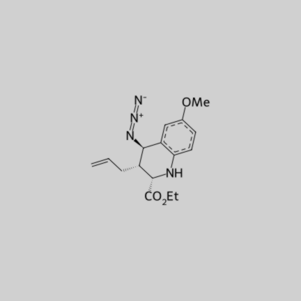 C=CC[C@H]1[C@@H](C(=O)OCC)Nc2ccc(OC)cc2[C@@H]1N=[N+]=[N-]